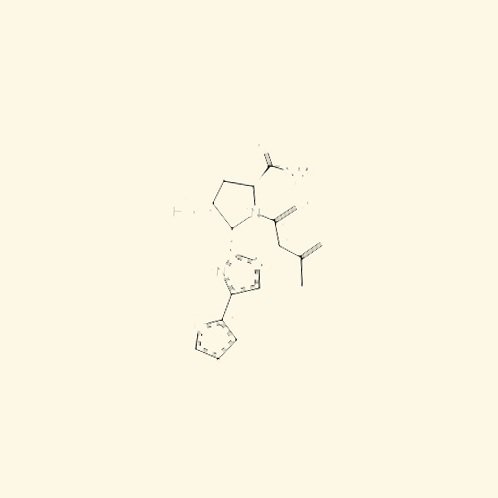 C=C(C)[C@@H](C(=O)N1C[C@H](O)C[C@H]1C(=O)NC)n1cc(-c2ccco2)nn1